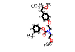 CCCCOCCN(CCOc1ccc(CC(OCC)C(=O)O)cc1)C(=O)Oc1cccc(C)c1